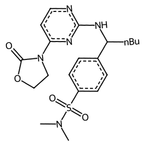 CCCCC(Nc1nccc(N2CCOC2=O)n1)c1ccc(S(=O)(=O)N(C)C)cc1